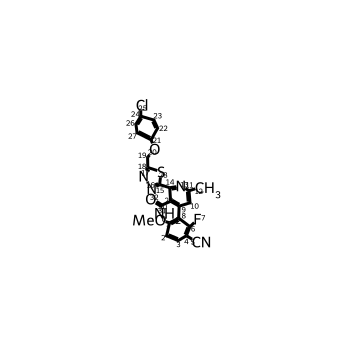 COc1ccc(C#N)c(F)c1-c1cc(C)nc(-c2nnc(COc3ccc(Cl)cc3)s2)c1C(N)=O